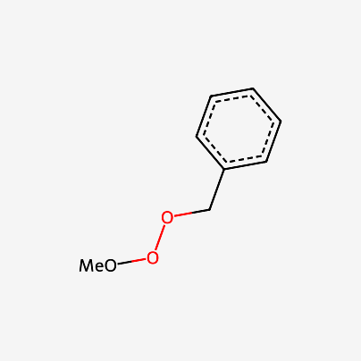 COOOCc1ccccc1